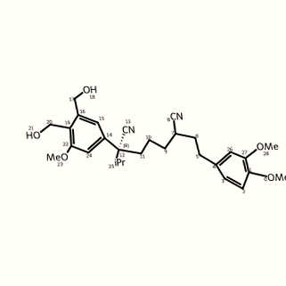 COc1ccc(CCC(C#N)CCC[C@](C#N)(c2cc(CO)c(CO)c(OC)c2)C(C)C)cc1OC